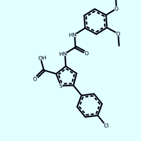 COc1ccc(NC(=O)Nc2cc(-c3ccc(Cl)cc3)sc2C(=O)O)cc1OC